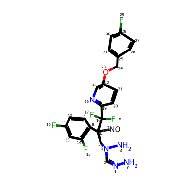 N/N=C\N(N)CC(N=O)(c1ccc(F)cc1F)C(F)(F)c1ccc(OCc2ccc(F)cc2)cn1